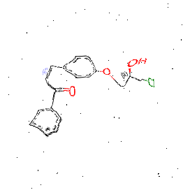 O=C(/C=C\c1ccc(OC[C@@H](O)CCl)cc1)c1ccccc1